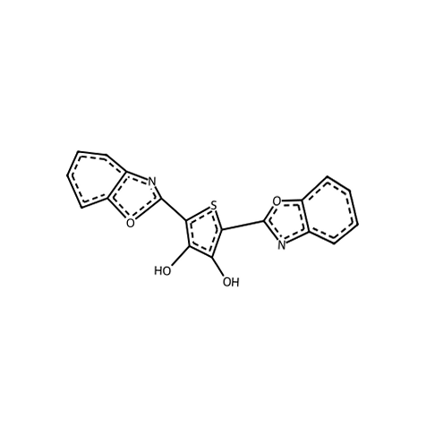 Oc1c(-c2nc3ccccc3o2)sc(-c2nc3ccccc3o2)c1O